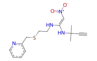 C#CC(C)(C)N/C(=C/[N+](=O)[O-])NCCSCc1ccccn1